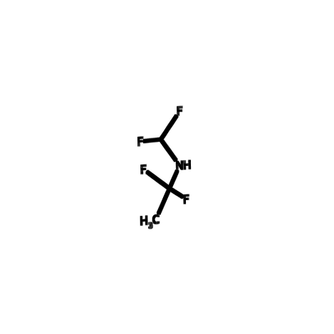 CC(F)(F)NC(F)F